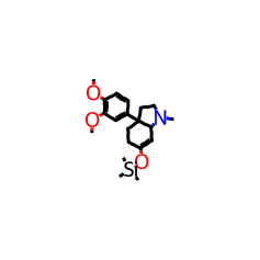 COc1ccc(C23CCC(O[Si](C)(C)C)=CC2N(C)CC3)cc1OC